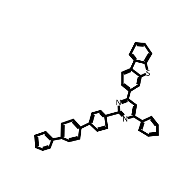 c1ccc(-c2ccc(-c3ccc(-c4nc(-c5ccccc5)cc(-c5ccc6c(c5)sc5ccccc56)n4)cc3)cc2)cc1